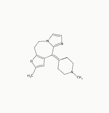 Cc1cc2c(o1)CCn1ccnc1C2=C1CCN(C)CC1